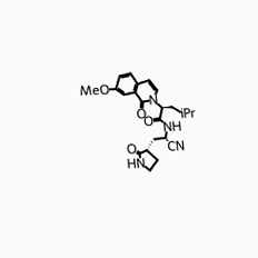 COc1ccc2ccn([C@@H](CC(C)C)C(=O)N[C@H](C#N)C[C@@H]3CCNC3=O)c(=O)c2c1